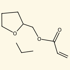 C=CC(=O)OCC1CCCO1.CCC